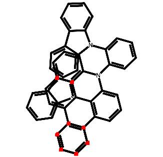 c1ccc(-c2ccccc2-c2c(-c3ccccc3)cccc2N(c2ccccc2-n2c3ccccc3c3ccccc32)c2cccc3c2sc2ccccc23)cc1